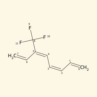 C=C/C=C\C=C(/C=C)C(F)(F)F